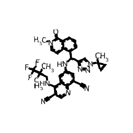 Cn1ccc2c(C(Nc3cc(C#N)c4ncc(C#N)c(NCC(C)(C)C(F)(F)F)c4c3)c3cn(C4(C)CC4)nn3)cccc2c1=O